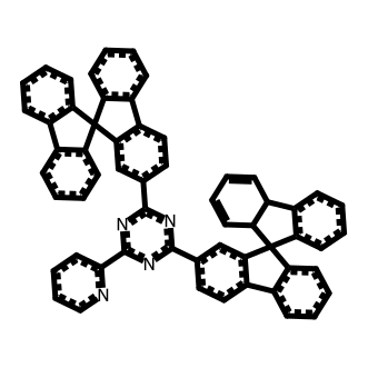 C1=CC2c3ccccc3C3(c4ccccc4-c4ccc(-c5nc(-c6ccc7c(c6)C6(c8ccccc8-c8ccccc86)c6ccccc6-7)nc(-c6ccccn6)n5)cc43)C2C=C1